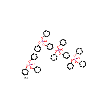 O=P(Oc1ccccc1)(Oc1ccccc1)Oc1ccccc1.O=P(Oc1ccccc1)(Oc1ccccc1)Oc1ccccc1.O=P(Oc1ccccc1)(Oc1ccccc1)Oc1ccccc1.O=P(Oc1ccccc1)(Oc1ccccc1)Oc1ccccc1.[Pd]